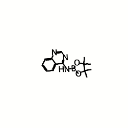 CC1(C)OB(Nc2ncnc3ccccc23)OC1(C)C